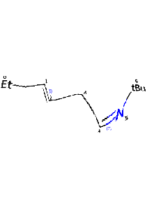 CC/C=C/C/C=N\C(C)(C)C